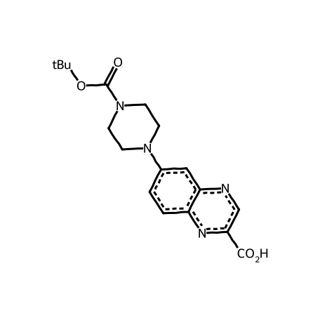 CC(C)(C)OC(=O)N1CCN(c2ccc3nc(C(=O)O)cnc3c2)CC1